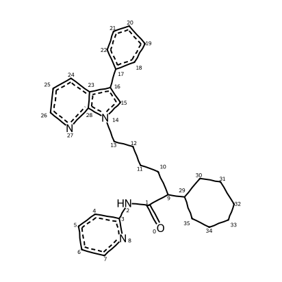 O=C(Nc1ccccn1)C(CCCCn1cc(-c2ccccc2)c2cccnc21)C1CCCCCC1